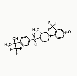 C[C@@H]1CN(c2cc[n+]([O-])cc2C(F)(F)F)CCN1S(=O)(=O)c1ccc(C(C)(O)C(F)(F)F)cc1